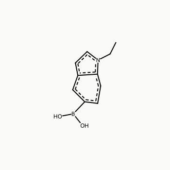 CCn1ccc2cc(B(O)O)ccc21